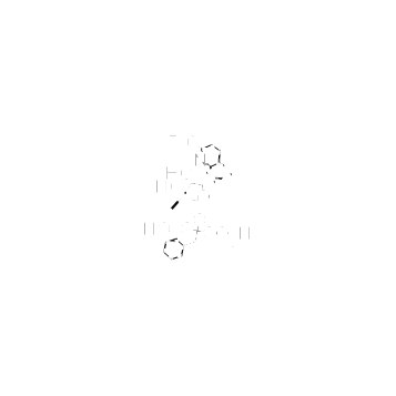 C#C[C@@]1(O)[C@@H](COC(Cc2ccccc2)(C(=O)O)C(=O)O)O[C@@H](n2cnc3ccc(C(F)(F)F)nc32)[C@@H]1O